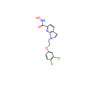 O=C(NO)c1ccc2ccn(CCOc3ccc(F)c(Cl)c3)c2n1